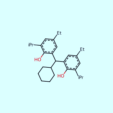 CCc1cc(C(C)C)c(O)c(C(c2cc(CC)cc(C(C)C)c2O)C2CCCCC2)c1